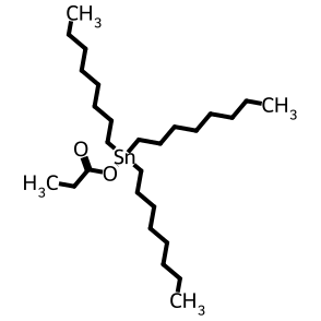 CCCCCCC[CH2][Sn]([CH2]CCCCCCC)([CH2]CCCCCCC)[O]C(=O)CC